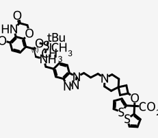 CC(C)(C)[Si](C)(C)O[C@@H](CNCc1ccc2c(c1)nnn2CCCN1CCC2(CC1)CC(OC(C(=O)O)(c1cccs1)c1cccs1)C2)c1ccc(O)c2c1OCC(=O)N2